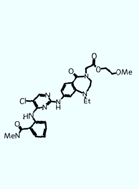 CCN1CCN(CC(=O)OCCOC)C(=O)c2ccc(Nc3ncc(Cl)c(Nc4ccccc4C(=O)NC)n3)cc21